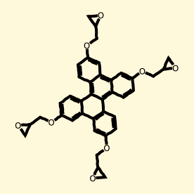 c1cc2c(cc1OCC1CO1)c1cc(OCC3CO3)ccc1c1c3ccc(OCC4CO4)cc3c3cc(OCC4CO4)ccc3c21